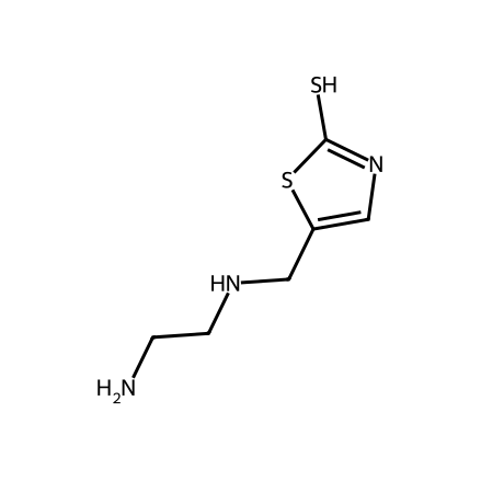 NCCNCc1cnc(S)s1